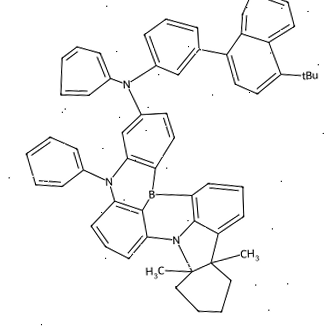 CC(C)(C)c1ccc(-c2cccc(N(c3ccccc3)c3ccc4c(c3)N(c3ccccc3)c3cccc5c3B4c3cccc4c3N5C3(C)CCCCC43C)c2)c2ccccc12